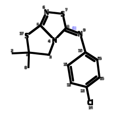 CC1(C)Cn2c(ns/c2=N/c2ccc(Cl)cc2)S1